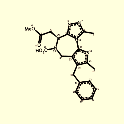 COC(=O)C[C@H]1c2nnc(C)n2-c2sc(C)c(Cc3ccccc3)c2CN1C(=O)O